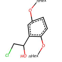 CCCCCCOc1ccc(OCCCCCC)c(C(O)CCl)c1